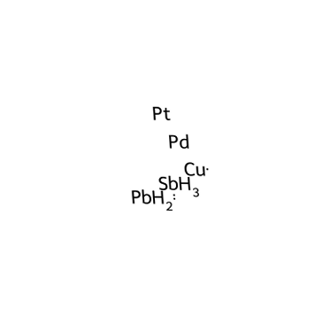 [Cu].[PbH2].[Pd].[Pt].[SbH3]